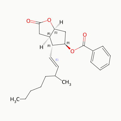 CCCCCC(C)/C=C/[C@@H]1[C@H]2CC(=O)O[C@H]2C[C@H]1OC(=O)c1ccccc1